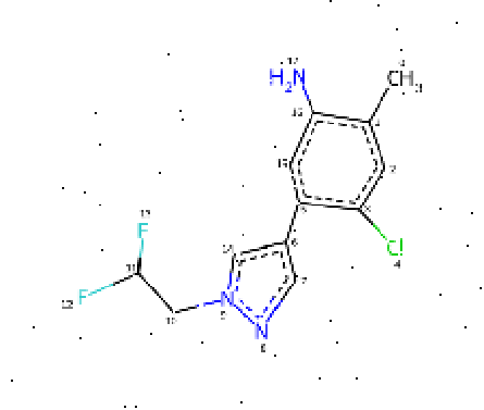 Cc1cc(Cl)c(-c2cnn(CC(F)F)c2)cc1N